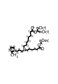 CCCCCCCCCCCOC(=O)CCCCCN(CCCCCCCC(=O)OC(CCCCCCCC)CCCCCCCC)CCCn1ccnc1C